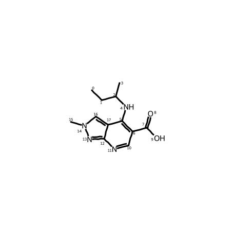 CCC(C)Nc1c(C(=O)O)cnc2nn(C)cc12